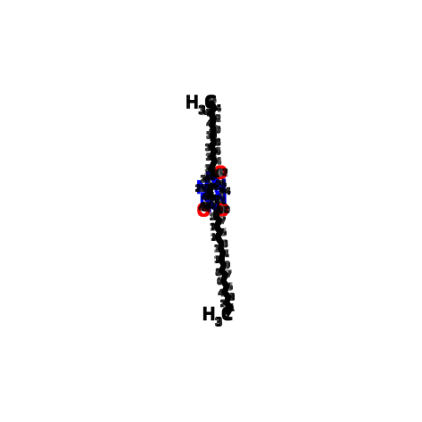 CCCCCCCCCCCCCCCCCCCC(=O)n1c2ncnc3c(ncn3C(=O)CCCCCCCCCCCCC)c-2nc1=O